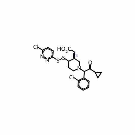 O=C(O)/C=C1/CN(C(C(=O)C2CC2)c2ccccc2Cl)CCC1SSc1ccc(Cl)nn1